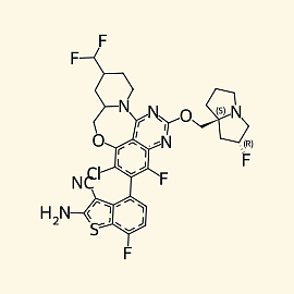 N#Cc1c(N)sc2c(F)ccc(-c3c(Cl)c4c5c(nc(OC[C@@]67CCCN6C[C@H](F)C7)nc5c3F)N3CCC(C(F)F)CC3CO4)c12